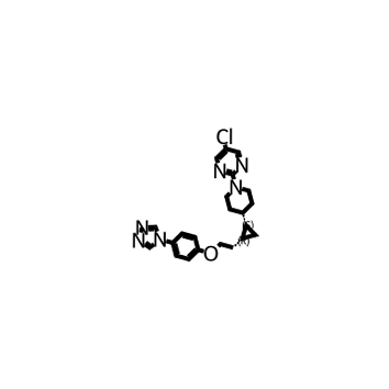 Clc1cnc(N2CCC([C@@H]3C[C@@H]3CCOc3ccc(-n4cnnc4)cc3)CC2)nc1